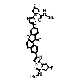 CC(C)(C)NC(=O)N1C[C@H](F)C[C@H]1c1ncc(-c2ccc3c(ccc4oc5cc(-c6cnc([C@@H]7C[C@@H](F)CN7C(=O)NC(C)(C)C)[nH]6)ccc5c(=O)c43)c2)[nH]1